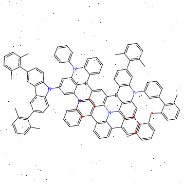 Cc1cccc(C)c1-c1cccc(N2c3cc(-c4c(C)cccc4C)ccc3B3c4cc5c(cc4N(c4c(-c6ccccc6)cccc4-c4ccccc4)c4cc(-c6c(C)cccc6C)cc2c43)N(c2ccccc2)c2cc(-n3c4ccc(-c6c(C)cccc6C)cc4c4cc(-c6c(C)cccc6C)ccc43)cc3c2B5c2ccccc2N3c2ccccc2)c1